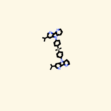 CC(C)c1cnc2c3ncccc3n(-c3ccc([Si](C)(C)c4ccc(-n5c6cccnc6c6ncc(C(C)C)cc65)cc4)cc3)c2c1